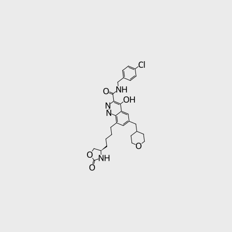 O=C1N[C@H](CCCCc2cc(CC3CCOCC3)cc3c(O)c(C(=O)NCc4ccc(Cl)cc4)nnc23)CO1